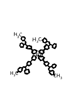 Cc1ccc(C=C(c2ccccc2)c2ccc(-c3cc[c]([Ge]([c]4ccc(-c5ccc(C(=Cc6ccc(C)cc6)c6ccccc6)cc5)cc4)([c]4ccc(-c5ccc(C(=Cc6ccc(C)cc6)c6ccccc6)cc5)cc4)[c]4ccc(-c5ccc(C(=Cc6ccc(C)cc6)c6ccccc6)cc5)cc4)cc3)cc2)cc1